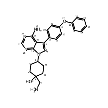 NCC1(O)CCC(n2nc(-c3ccc(Oc4ccccc4)cc3)c3c(N)ncnc32)CC1